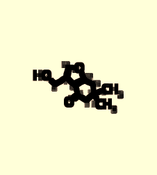 CC1(C)CC(=O)c2c(CO)coc2C1